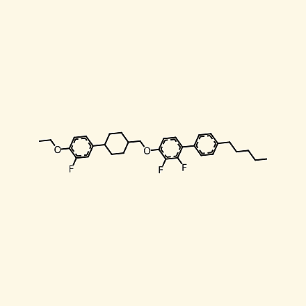 CCCCCc1ccc(-c2ccc(OCC3CCC(c4ccc(OCC)c(F)c4)CC3)c(F)c2F)cc1